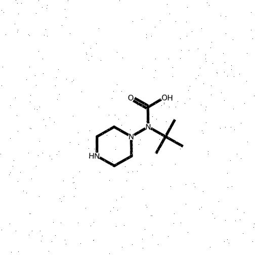 CC(C)(C)N(C(=O)O)N1CCNCC1